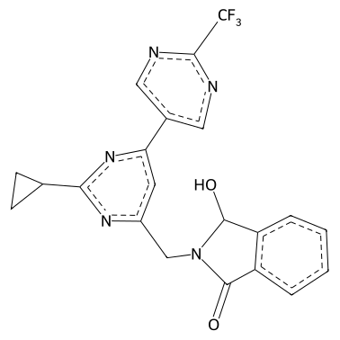 O=C1c2ccccc2C(O)N1Cc1cc(-c2cnc(C(F)(F)F)nc2)nc(C2CC2)n1